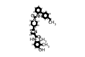 CCc1ccc(-c2ccccc2NC(=O)N2CCC(c3nc(C(=O)Nc4ccc(O)c(C)c4C)cs3)CC2)cc1